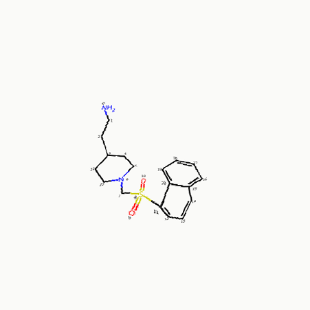 NCCC1CCN(CS(=O)(=O)c2cccc3ccccc23)CC1